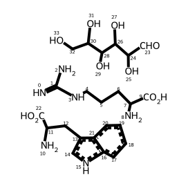 N=C(N)NCCCC(N)C(=O)O.NC(Cc1c[nH]c2ccccc12)C(=O)O.O=CC(O)C(O)C(O)C(O)CO